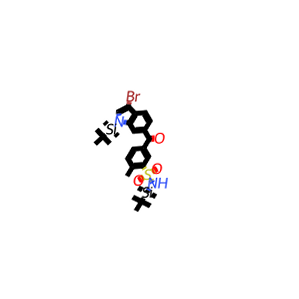 Cc1ccc(C(=O)c2ccc3c(Br)cn([Si](C)(C)C(C)(C)C)c3c2)cc1S(=O)(=O)N[Si](C)(C)C(C)(C)C